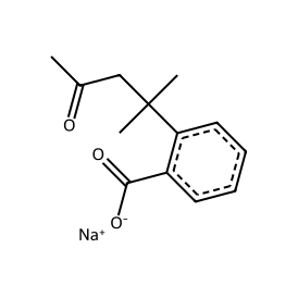 CC(=O)CC(C)(C)c1ccccc1C(=O)[O-].[Na+]